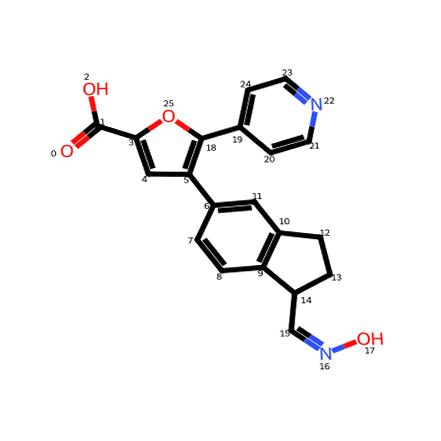 O=C(O)c1cc(-c2ccc3c(c2)CCC3/C=N\O)c(-c2ccncc2)o1